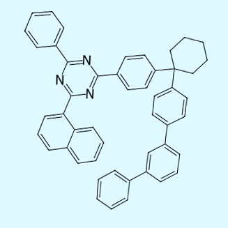 c1ccc(-c2cccc(-c3ccc(C4(c5ccc(-c6nc(-c7ccccc7)nc(-c7cccc8ccccc78)n6)cc5)CCCCC4)cc3)c2)cc1